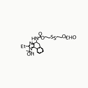 CCc1nc2c(n1C(C)(C)O)-c1ccccc1CC2NC(=O)OCCSSCCOC=O